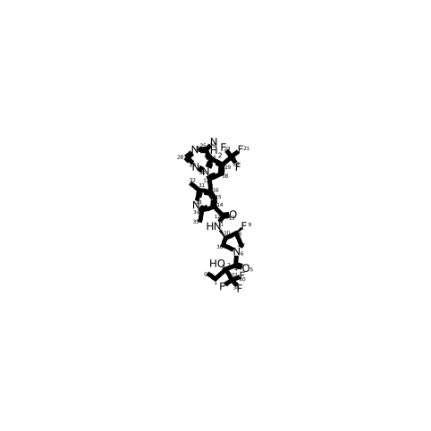 CCC(O)(C(=O)N1C[C@H](F)[C@H](NC(=O)c2cc(-c3cc(C(F)(F)F)c4c(N)ncnn34)c(C)nc2C)C1)C(F)(F)F